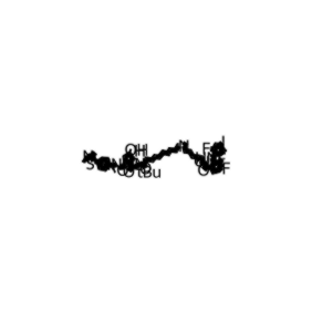 Cc1ncsc1-c1ccc([C@H](C)NC(=O)[C@@H]2C[C@@H](O)CN2C(=O)[C@@H](NC(=O)CCCCCCCCCN(C)CCCCONC(=O)c2ccc(F)c(F)c2Nc2ccc(I)cc2F)C(C)(C)C)cc1